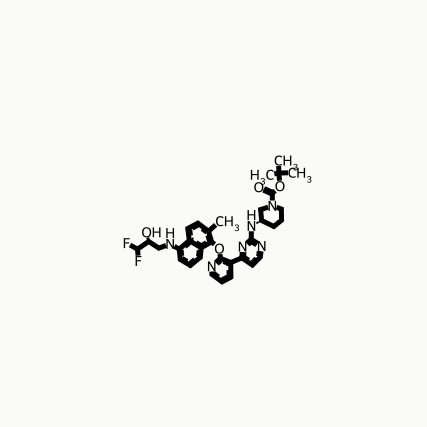 Cc1ccc2c(NC[C@H](O)C(F)F)cccc2c1Oc1ncccc1-c1ccnc(N[C@H]2CCCN(C(=O)OC(C)(C)C)C2)n1